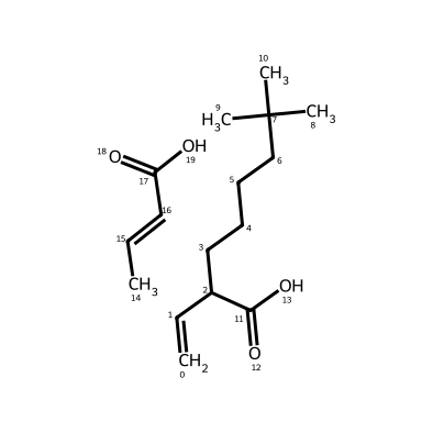 C=CC(CCCCC(C)(C)C)C(=O)O.CC=CC(=O)O